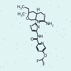 CC[C@@]1(C)C[C@H]2CSC(N)=N[C@@]2(c2nc(NC(=O)c3ccc(OC(F)F)cn3)cs2)CO1